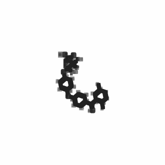 Cc1ccc(C)c(C(=O)c2ccc(Oc3ccc(OC(F)(F)C(F)(F)S(=O)(=O)O)cc3)cc2)c1